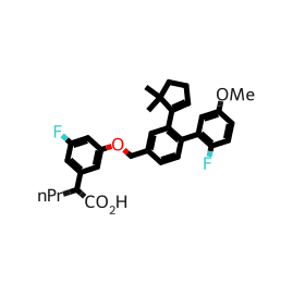 CCCC(C(=O)O)c1cc(F)cc(OCc2ccc(-c3cc(OC)ccc3F)c(C3=CCCC3(C)C)c2)c1